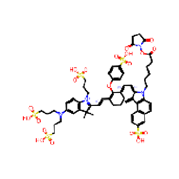 C=c1/c(=C\C=C2/CCCC(/C=C/C3=[N+](CCCS(=O)(=O)O)c4ccc(N(CCCS(=O)(=O)O)CCCS(=O)(=O)O)cc4C3(C)C)=C2Oc2ccc(S(=O)(=O)O)cc2)n(CCCCCC(=O)ON2C(=O)CCC2=O)c2ccc3cc(S(=O)(=O)O)ccc3c12